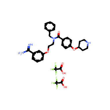 N=C(N)c1cccc(OCCN(Cc2ccccc2)C(=O)c2ccc(OC3CCNCC3)cc2)c1.O=C(O)C(F)(F)F.O=C(O)C(F)(F)F